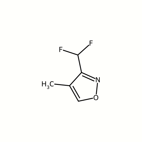 Cc1conc1C(F)F